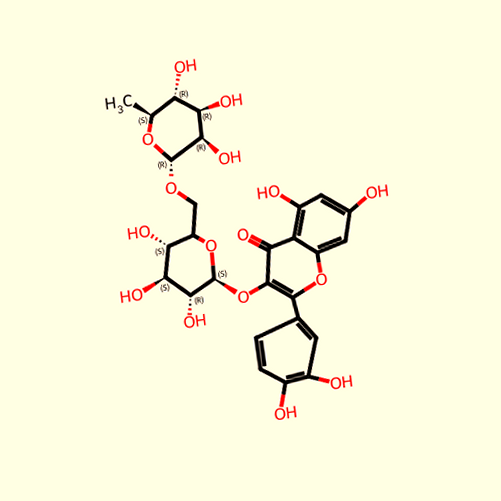 C[C@@H]1O[C@@H](OCC2O[C@@H](Oc3c(-c4ccc(O)c(O)c4)oc4cc(O)cc(O)c4c3=O)[C@H](O)[C@@H](O)[C@@H]2O)[C@H](O)[C@H](O)[C@H]1O